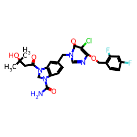 CC(C)(O)CC(=O)N1CN(C(N)=O)c2ccc(Cn3cnc(OCc4ccc(F)cc4F)c(Cl)c3=O)cc21